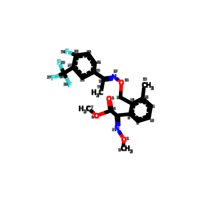 CO/N=C(/C(=O)OC)c1cccc(C)c1CO/N=C(\C)c1ccc(F)c(C(F)(F)F)c1